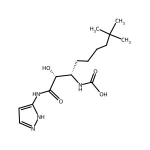 CC(C)(C)CCCC[C@H](NC(=O)O)[C@@H](O)C(=O)Nc1ccn[nH]1